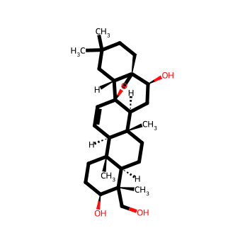 CC1(C)CC[C@]23CO[C@@]4(C=C[C@@H]5[C@@]6(C)CC[C@H](O)[C@@](C)(CO)[C@@H]6CC[C@@]5(C)[C@@H]4C[C@@H]2O)[C@@H]3C1